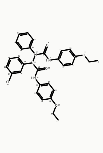 CCOc1ccc(NC(=O)N(c2ccccc2)N(C(=O)Nc2ccc(OCC)cc2)c2cccc(Cl)c2)cc1